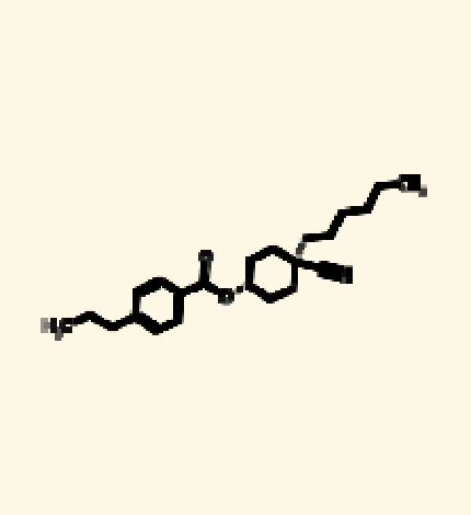 CCCCCC[C@]1(C#N)CC[C@H](OC(=O)c2ccc(CCC)cc2)CC1